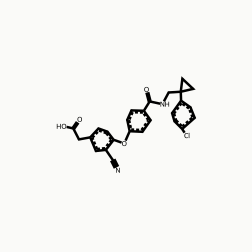 N#Cc1cc(CC(=O)O)ccc1Oc1ccc(C(=O)NCC2(c3ccc(Cl)cc3)CC2)cc1